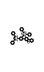 c1ccc(-c2cc(-c3ccccc3)nc(-c3ccc(-c4ccc5c(c4)oc4ccccc45)c(-c4nc(-c5ccccc5)nc(-c5ccccc5)n4)c3)n2)cc1